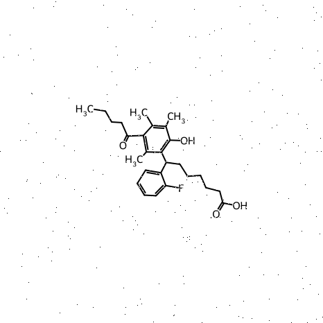 CCCCC(=O)c1c(C)c(C)c(O)c(C(CCCCCC(=O)O)c2ccccc2F)c1C